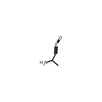 CC(N)C#P=O